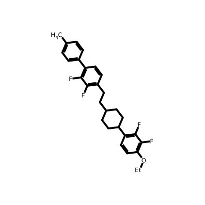 CCOc1ccc(C2CCC(CCc3ccc(-c4ccc(C)cc4)c(F)c3F)CC2)c(F)c1F